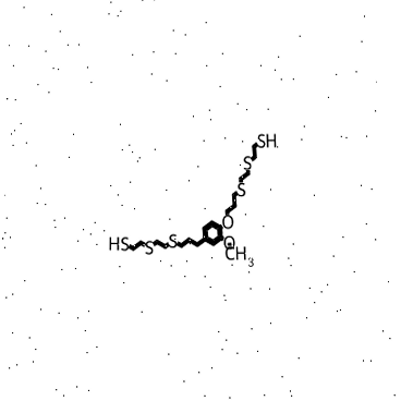 COc1cc(CCCSCCSCCS)ccc1OCCCSCCSCCS